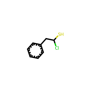 SC(Cl)Cc1ccccc1